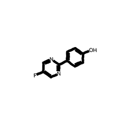 Oc1ccc(-c2ncc(F)cn2)cc1